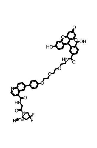 N#C[C@@H]1CC(F)(F)CN1C(=O)CNC(=O)c1ccnc2ccc(-c3ccc(OCCOCCOCCNC(=O)c4ccc(C(=O)O)c(-c5c6ccc(=O)cc-6oc6cc(O)ccc56)c4)cc3)cc12